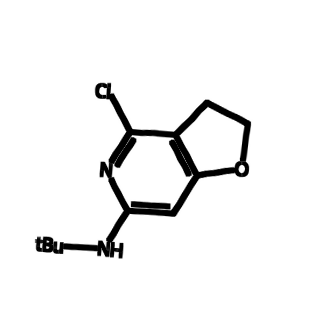 CC(C)(C)Nc1cc2c(c(Cl)n1)CCO2